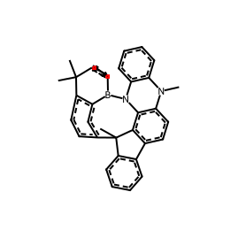 CN1c2ccccc2N2B3c4ccccc4C(C)(C)c4ccc(cc43)C3(C)c4ccccc4-c4ccc1c2c43